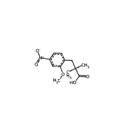 COc1cc([N+](=O)[O-])ccc1CC(C)(C)C(=O)O